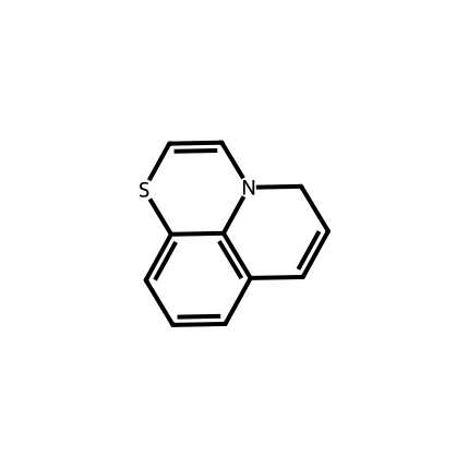 C1=Cc2cccc3c2N(C=CS3)C1